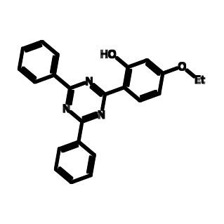 [CH2]COc1ccc(-c2nc(-c3ccccc3)nc(-c3ccccc3)n2)c(O)c1